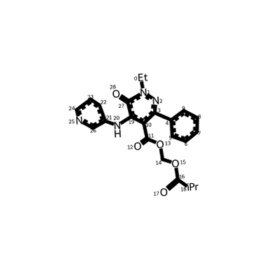 CCn1nc(-c2ccccc2)c(C(=O)OCOC(=O)C(C)C)c(Nc2cccnc2)c1=O